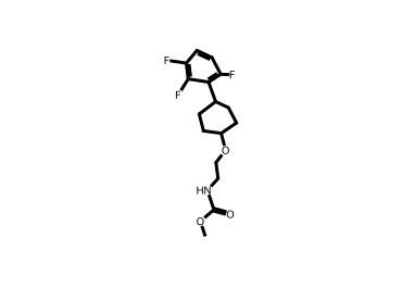 COC(=O)NCCOC1CCC(c2c(F)ccc(F)c2F)CC1